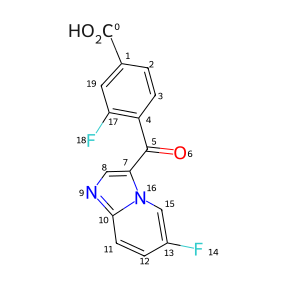 O=C(O)c1ccc(C(=O)c2cnc3ccc(F)cn23)c(F)c1